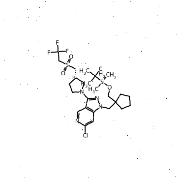 CC(C)(C)[Si](C)(C)OCC1(Cn2nc(N3CC[C@H](CS(=O)(=O)CC(F)(F)F)C3)c3cnc(Cl)cc32)CCCC1